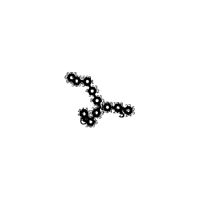 c1cc(-c2ccc(-c3ccc(N(c4ccc(-c5ccc6c(c5)sc5ccccc56)cc4)c4ccc(-c5cccc6oc7ccccc7c56)cc4)cc3)cc2)cc(-c2ccc3ccccc3c2)c1